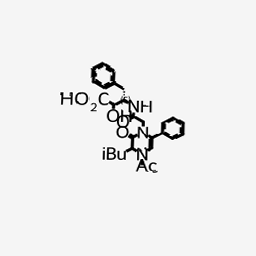 CCC(C)C1C(=O)N(CC(=O)N[C@@H](Cc2ccccc2)C(O)C(=O)O)C(c2ccccc2)=CN1C(C)=O